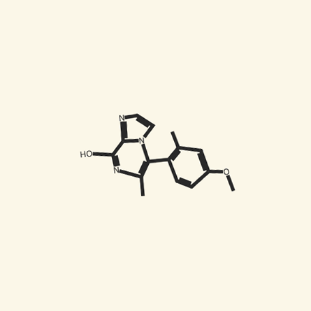 COc1ccc(-c2c(C)nc(O)c3nccn23)c(C)c1